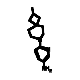 CC1CC2(CCN(c3ccc(N)cn3)CC2)C1